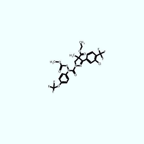 CCOC(=O)C1(C)CN(C(=O)N(SC(=O)OC)c2ccc(OC(F)(F)F)cc2)N=C1c1ccc(C(F)(F)F)c(Cl)c1